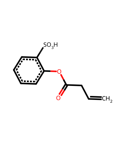 C=CCC(=O)Oc1ccccc1S(=O)(=O)O